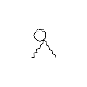 CCCCCCCCC1(CCCCCCCC)CCCCCCCCCCC1